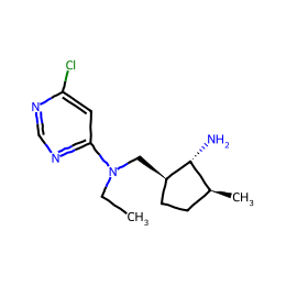 CCN(C[C@@H]1CC[C@H](C)[C@H]1N)c1cc(Cl)ncn1